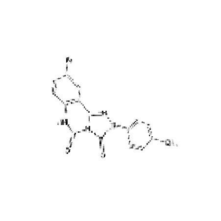 Cc1ccc(-n2nc3c4cc(Br)ccc4[nH]c(=O)n3c2=O)cc1